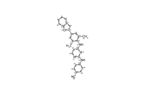 Cc1cc(-c2cc3ccccc3o2)cc(C)c1Nc1ccnc(Nc2ccc(C#N)cc2)n1